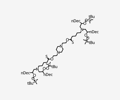 CCCCCCCCCCC(CN(CCCCC(=S)OCCN1CCN(CCOC(=S)CCCCN(CC(CCCCCCCCCC)OO[Si](C)(C)C(C)(C)C)CC(CCCCCCCCCC)OO[Si](C)(C)C(C)(C)C)CC1)CC(CCCCCCCCCC)OO[Si](C)(C)C(C)(C)C)OO[Si](C)(C)C(C)(C)C